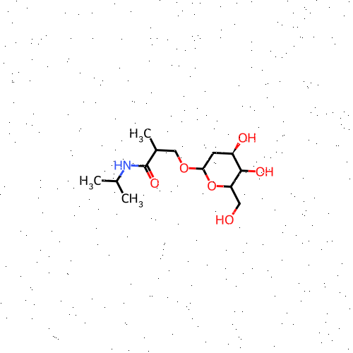 CC(C)NC(=O)C(C)COC1C[C@@H](O)C(O)C(CO)O1